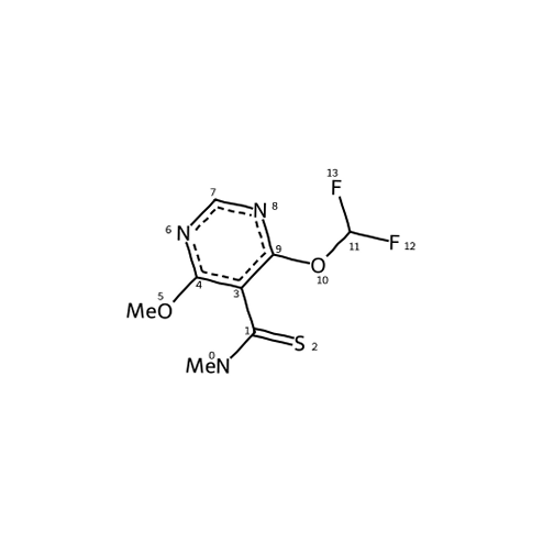 CNC(=S)c1c(OC)ncnc1OC(F)F